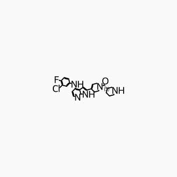 O=C([C@H]1CCCNC1)N1CC=C(c2cc3c(Nc4ccc(F)c(Cl)c4)ccnc3[nH]2)CC1